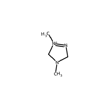 CN1CN=[N+](C)C1